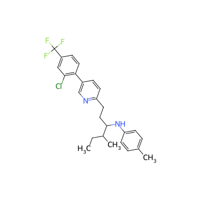 CCC(C)C(CCc1ccc(-c2ccc(C(F)(F)F)cc2Cl)cn1)Nc1ccc(C)cc1